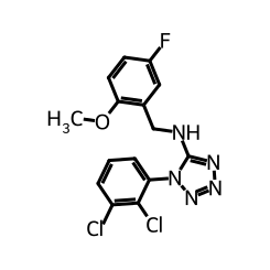 COc1ccc(F)cc1CNc1nnnn1-c1cccc(Cl)c1Cl